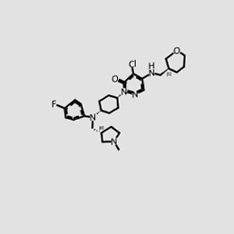 CN1CC[C@@H](CN(c2ccc(F)cc2)[C@H]2CC[C@@H](n3ncc(NC[C@@H]4CCCOC4)c(Cl)c3=O)CC2)C1